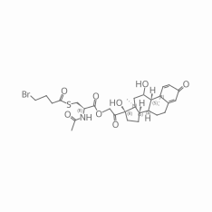 CC(=O)N[C@@H](CSC(=O)CCCBr)C(=O)OCC(=O)[C@@]1(O)CC[C@H]2[C@@H]3CCC4=CC(=O)C=C[C@]4(C)[C@H]3C(O)C[C@@]21C